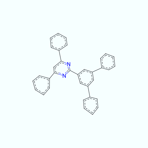 c1ccc(-c2cc(-c3ccccc3)cc(-c3nc(-c4ccccc4)cc(-c4ccccc4)n3)c2)cc1